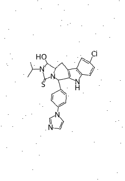 CC(C)N1C(=S)N2C(c3ccc(-n4ccnc4)cc3)c3[nH]c4ccc(Cl)cc4c3CC2C1O